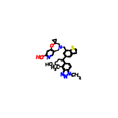 Cc1c([C@@H](CC(=O)O)c2cc(CN3Cc4cnc(O)cc4OC4(CC4)C3)c3sccc3c2)ccc2c1nnn2C